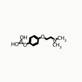 CN(C)CCOc1ccc(OB(O)O)cc1